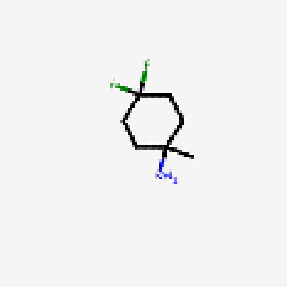 CC1(N)CCC(F)(F)CC1